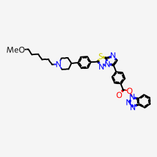 COCCCCCCN1CCC(c2ccc(-c3nn4c(-c5ccc(C(=O)On6nnc7ccccc76)cc5)cnc4s3)cc2)CC1